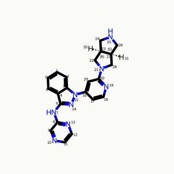 c1ccc2c(c1)c(Nc1cnccn1)nn2-c1ccnc(N2C[C@H]3CNC[C@H]3C2)c1